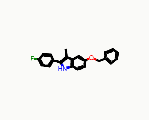 Cc1c(-c2ccc(F)cc2)[nH]c2ccc(OCc3ccccc3)cc12